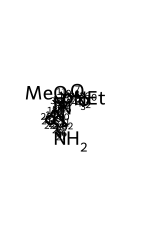 CC[C@@H]1CCCN(C(=O)c2cc(OC)c3c(c2)nc(-c2cc4cccc(CCCN)c4n2CC2CC2)n3C)C1